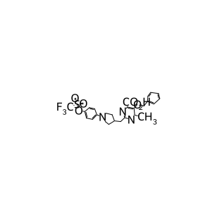 Cc1nc(CC2CCN(c3ccc(OS(=O)(=O)C(F)(F)F)cc3)CC2)nc(C(=O)O)c1OCc1ccccc1